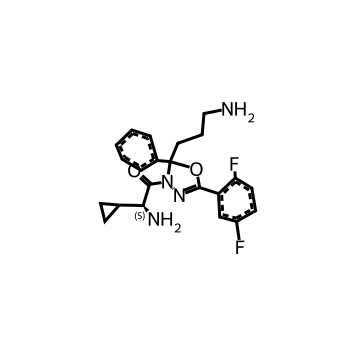 NCCCC1(c2ccccc2)OC(c2cc(F)ccc2F)=NN1C(=O)[C@@H](N)C1CC1